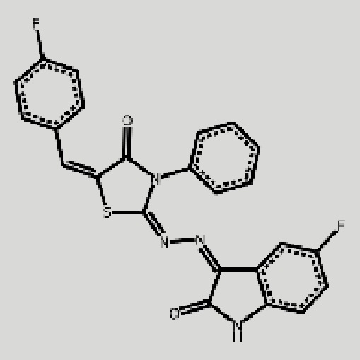 O=C1Nc2ccc(F)cc2C1=NN=C1SC(=Cc2ccc(F)cc2)C(=O)N1c1ccccc1